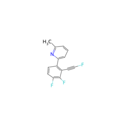 Cc1cccc(-c2ccc(F)c(F)c2C#CF)n1